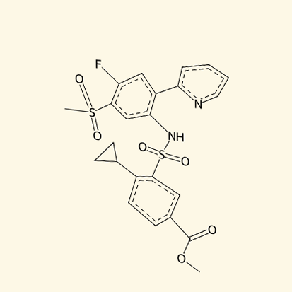 COC(=O)c1ccc(C2CC2)c(S(=O)(=O)Nc2cc(S(C)(=O)=O)c(F)cc2-c2ccccn2)c1